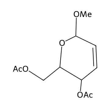 COC1C=CC(OC(C)=O)C(COC(C)=O)O1